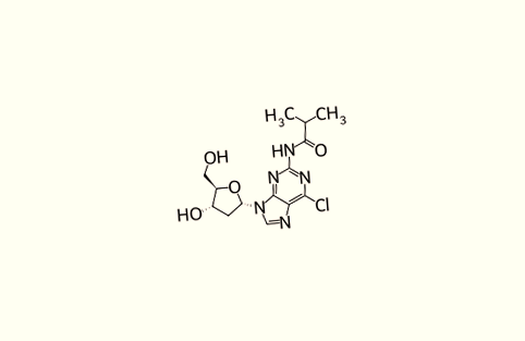 CC(C)C(=O)Nc1nc(Cl)c2ncn([C@@H]3C[C@H](O)[C@@H](CO)O3)c2n1